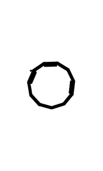 [C]1=CCCCCC=CCC=C1